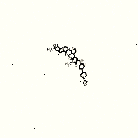 Cn1cc(-c2ccnc(-n3ccn4c5c(cc4c3=O)CC(C)(C)C5)c2CO)cc(Nc2ccc(C3=CCN(C4COC4)CC3)cn2)c1=O